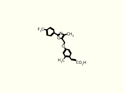 Cc1cc(OCc2oc(-c3ccc(C(F)(F)F)cc3)nc2C)ccc1C=CC(=O)O